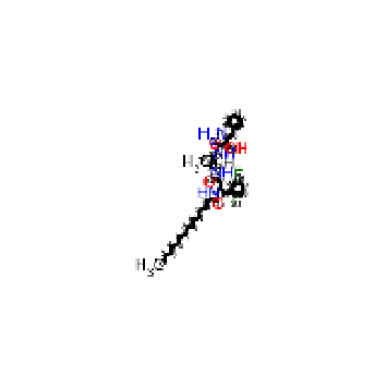 CCCCCCCCCCCCCCCC(=O)NC(CC(=O)NCC(C)(C)CNC(=O)C(O)C(N)Cc1ccccc1)Cc1cc(F)ccc1F